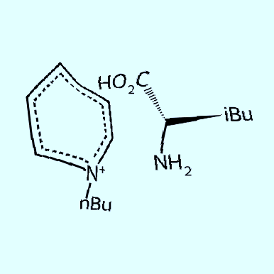 CCCC[n+]1ccccc1.CC[C@H](C)[C@H](N)C(=O)O